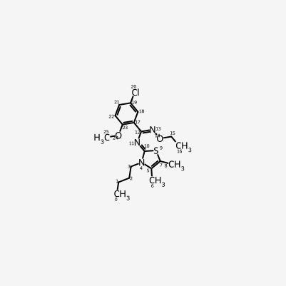 CCCCn1c(C)c(C)sc1=NC(=NOCC)c1cc(Cl)ccc1OC